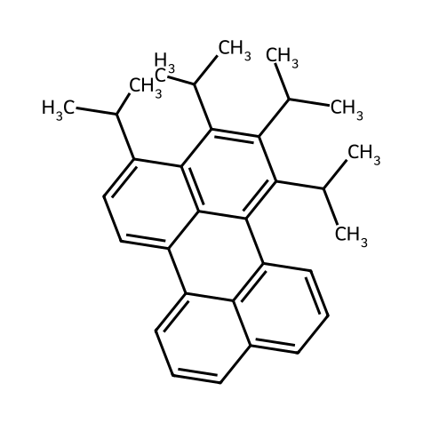 CC(C)c1c(C(C)C)c2c(C(C)C)ccc3c4cccc5cccc(c(c1C(C)C)c23)c54